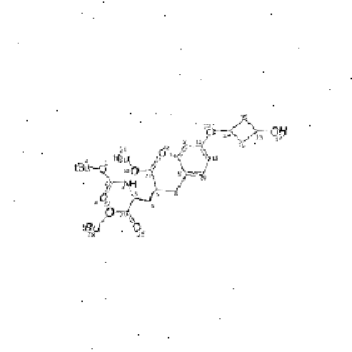 CC(C)(C)OC(=O)N[C@@H](C[C@H](Cc1ccc(OC2CC(O)C2)cc1)C(=O)OC(C)(C)C)C(=O)OC(C)(C)C